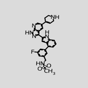 CS(=O)(=O)NCc1cc(F)cc(-c2cccc3[nH]c(-c4n[nH]c5ncc(C6=CCNCC6)cc45)cc23)c1